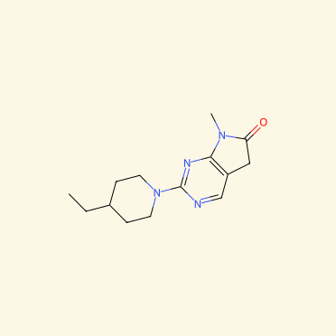 CCC1CCN(c2ncc3c(n2)N(C)C(=O)C3)CC1